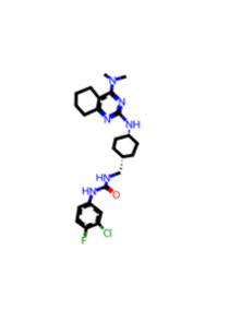 CN(C)c1nc(N[C@H]2CC[C@@H](CNC(=O)Nc3ccc(F)c(Cl)c3)CC2)nc2c1CCCC2